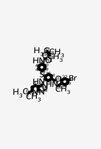 CC(C)c1ccc2c(Nc3cc(C(=O)NC(C)c4ccc(Br)cc4)ccc3Sc3ccc(NC(=O)OC(C)(C)C)cc3)ncnc2n1